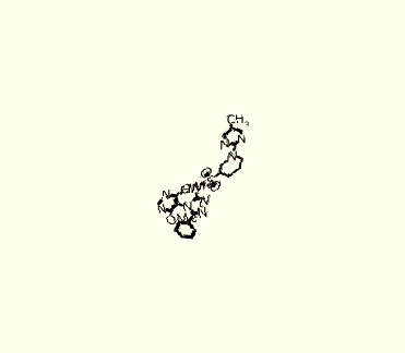 COc1ncnc(OC)c1-n1c(NS(=O)(=O)C2CCCN(c3ncc(C)cn3)C2)nnc1-c1ccccc1